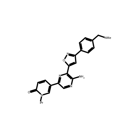 CNCc1ccc(-c2cc(-c3nc(-c4ccc(=O)n(C(C)C)c4)cnc3N)on2)cc1